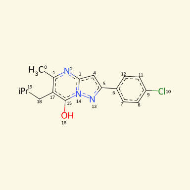 Cc1nc2cc(-c3ccc(Cl)cc3)nn2c(O)c1CC(C)C